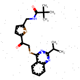 CC(C)c1nc(SCC(=O)c2ccc(CNC(=O)C(C)(C)C)s2)c2ccccc2n1